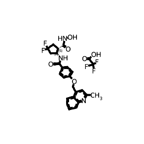 Cc1cc(COc2ccc(C(=O)N[C@@H]3CC(F)(F)C[C@@H]3C(=O)NO)cc2)c2ccccc2n1.O=C(O)C(F)(F)F